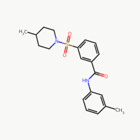 Cc1cccc(NC(=O)c2cccc(S(=O)(=O)N3CCC(C)CC3)c2)c1